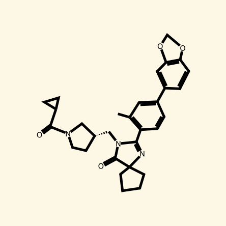 Cc1cc(-c2ccc3c(c2)OCO3)ccc1C1=NC2(CCCC2)C(=O)N1C[C@@H]1CCN(C(=O)C2CC2)C1